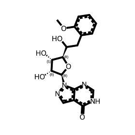 COc1ccccc1CC(O)[C@H]1O[C@@H](n2ncc3c(=O)[nH]cnc32)[C@H](O)[C@@H]1O